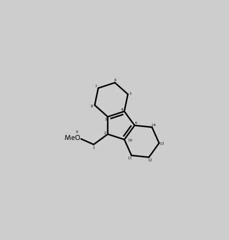 COCC1C2=C(CCCC2)C2=C1CCCC2